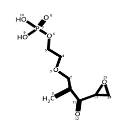 C=C(COCCOP(=O)(O)O)C(=O)C1CO1